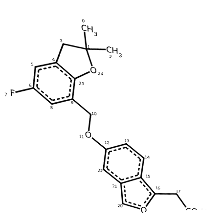 CC1(C)Cc2cc(F)cc(COc3ccc4c(CC(=O)O)occ4c3)c2O1